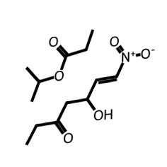 CCC(=O)CC(O)C=C[N+](=O)[O-].CCC(=O)OC(C)C